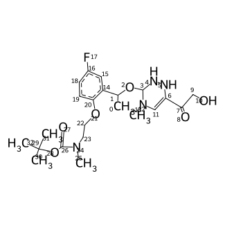 CC(OC1NNC(C(=O)CO)=CN1C)c1cc(F)ccc1OCCN(C)C(=O)OC(C)(C)C